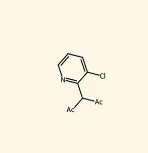 CC(=O)C(C(C)=O)c1ncccc1Cl